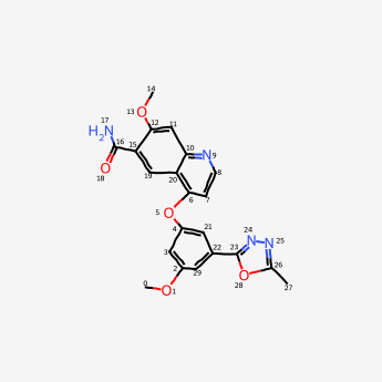 COc1cc(Oc2ccnc3cc(OC)c(C(N)=O)cc23)cc(-c2nnc(C)o2)c1